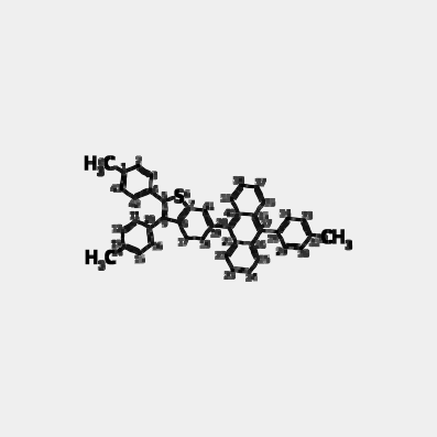 Cc1ccc(-c2sc3c(c2-c2ccc(C)cc2)CCC(c2c4ccccc4c(-c4ccc(C)cc4)c4ccccc24)=C3)cc1